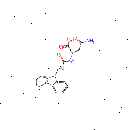 NC(=O)C[C@@H](NC(=O)OCC1c2ccccc2-c2ccccc21)C(=O)O